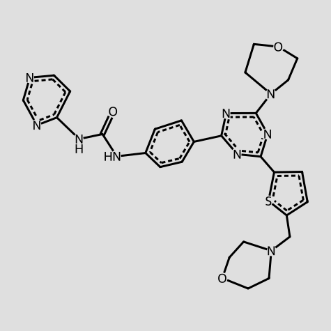 O=C(Nc1ccc(-c2nc(-c3ccc(CN4CCOCC4)s3)nc(N3CCOCC3)n2)cc1)Nc1ccncn1